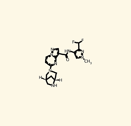 Cn1cc(NC(=O)c2cnn3ccc(N4C[C@H]5CN[C@H](C5)C4)nc23)c(C(F)F)n1